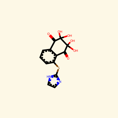 O=C1c2cccc(Sc3ncc[nH]3)c2C(=O)C(O)(O)C1(O)O